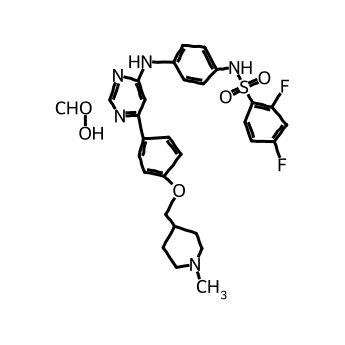 CN1CCC(COc2ccc(-c3cc(Nc4ccc(NS(=O)(=O)c5ccc(F)cc5F)cc4)ncn3)cc2)CC1.O=CO